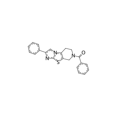 O=C(c1ccccc1)N1CCc2c(sc3nc(-c4ccccc4)cn23)C1